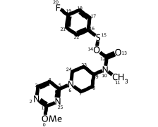 COc1nccc(N2CCC(N(C)C(=O)OSc3ccc(F)cc3)CC2)n1